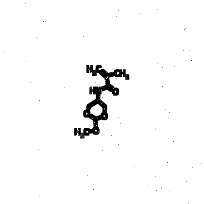 C=C(C)C(=O)NC1COC(OC)OC1